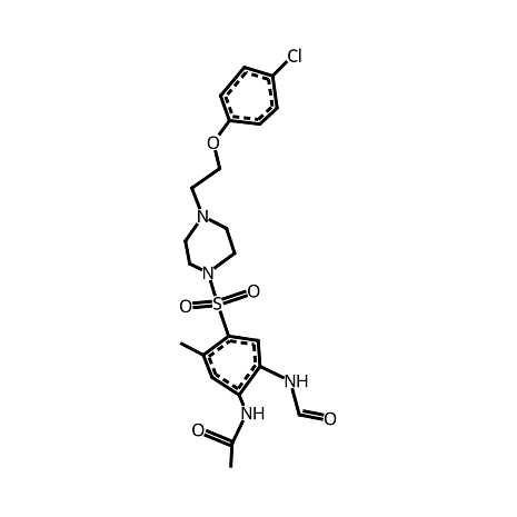 CC(=O)Nc1cc(C)c(S(=O)(=O)N2CCN(CCOc3ccc(Cl)cc3)CC2)cc1NC=O